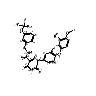 COc1ccc(Oc2c(C)cc(-n3nc(C(=O)NCc4cccc(OC(F)(F)F)c4)c(=O)[nH]c3=O)cc2C)cc1Br